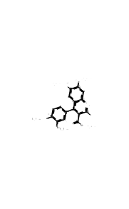 CCc1nc2cc(OC)c(OC)cc2c(-c2ccc(OC)c(OC)c2)c1C(=O)OC